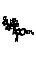 CN1CCc2cc(NC(=O)C(C)(C)NC(=O)c3ccc(Cl)s3)cc(C#N)c2CC1